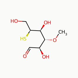 CO[C@@H]([C@H](O)[C@@H](S)CO)[C@@H](O)C=O